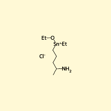 CC[O][Sn+]([CH2]C)[CH2]CCC(C)N.[Cl-]